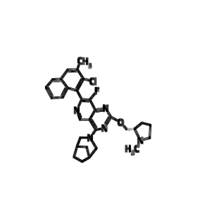 Cc1cc2ccccc2c(-c2ncc3c(N4CC5CCC(C5)C4)nc(OC[C@@H]4CCCN4C)nc3c2F)c1Cl